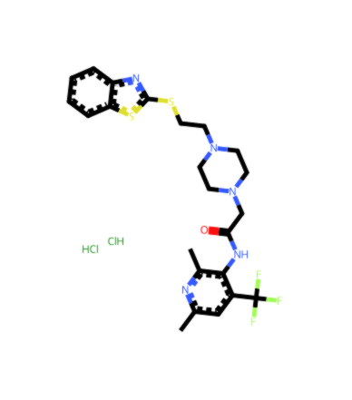 Cc1cc(C(F)(F)F)c(NC(=O)CN2CCN(CCSc3nc4ccccc4s3)CC2)c(C)n1.Cl.Cl